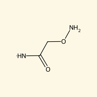 [NH]C(=O)CON